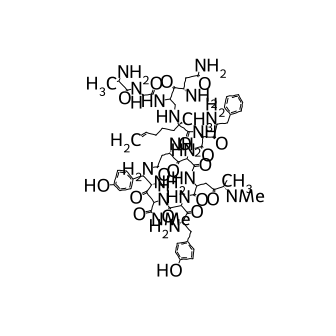 C=CCCC[C@](C)(NCC(NC(=O)CNC(=O)C(C)N)C(=O)[C@@H](N)CC(N)=O)C(=O)NC(C(=O)NC(C(=O)NC(CC(=O)[C@H](C)NC)C(=O)NC(C(=O)NC(C(=O)NC)C(=O)[C@@H](N)Cc1ccc(O)cc1)C(=O)[C@@H](N)Cc1ccc(O)cc1)C(=O)[C@@H](N)CC(N)=O)C(=O)[C@@H](N)Cc1ccccc1